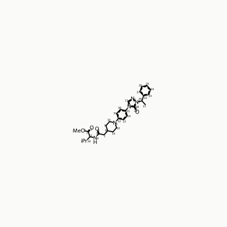 COC(=O)C(NC(=O)CC1CCN(c2ccc(-n3cnn(C(C)c4ccccc4)c3=O)cc2)CC1)C(C)C